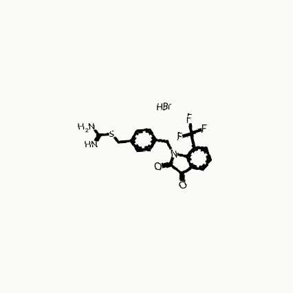 Br.N=C(N)SCc1ccc(CN2C(=O)C(=O)c3cccc(C(F)(F)F)c32)cc1